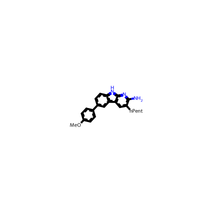 CCCCCc1cc2c(nc1N)[nH]c1ccc(-c3ccc(OC)cc3)cc12